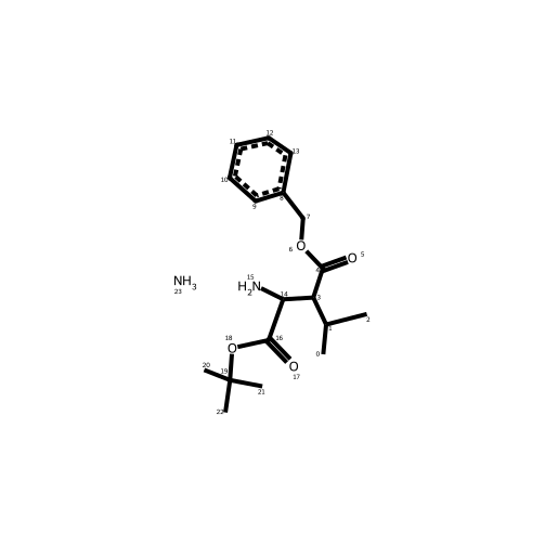 CC(C)C(C(=O)OCc1ccccc1)C(N)C(=O)OC(C)(C)C.N